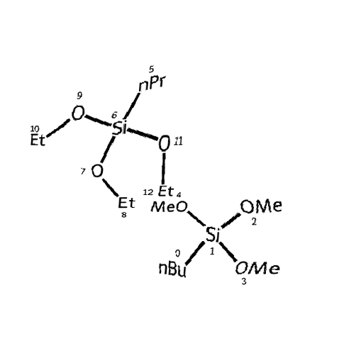 CCCC[Si](OC)(OC)OC.CCC[Si](OCC)(OCC)OCC